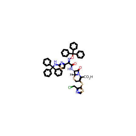 O=C(O)C1=C(Sc2scnc2CCl)CS[C@@H]2[C@H](NC(=O)/C(=N\OC(c3ccccc3)(c3ccccc3)c3ccccc3)c3csc(NC(c4ccccc4)(c4ccccc4)c4ccccc4)n3)C(=O)N12